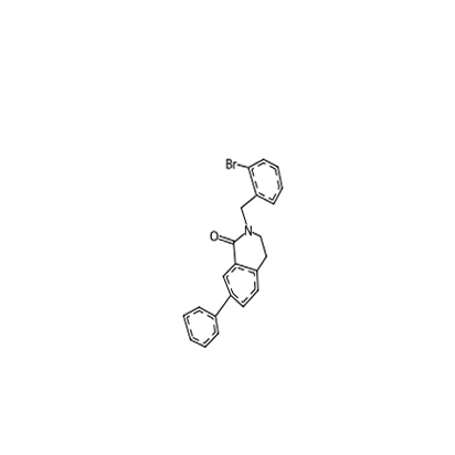 O=C1c2cc(-c3ccccc3)ccc2CCN1Cc1ccccc1Br